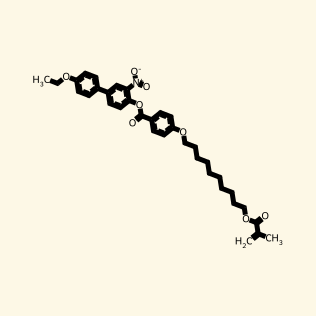 C=C(C)C(=O)OCCCCCCCCCCOc1ccc(C(=O)Oc2ccc(-c3ccc(OCC)cc3)cc2[N+](=O)[O-])cc1